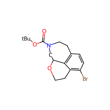 CC(C)(C)OC(=O)N1CCc2ccc(Br)c3c2C(C1)OCC3